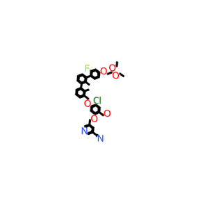 CCOC(COc1ccc(-c2cccc(-c3cccc(COc4cc(OCc5cncc(C#N)c5)c(C=O)cc4Cl)c3C)c2C)c(F)c1)OCC